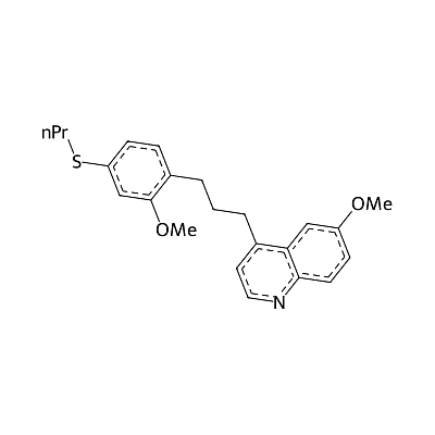 [CH2]CCSc1ccc(CCCc2ccnc3ccc(OC)cc23)c(OC)c1